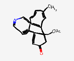 CC(=O)OC1(c2cccc(C)c2)CC(=O)C=C1c1ccncc1